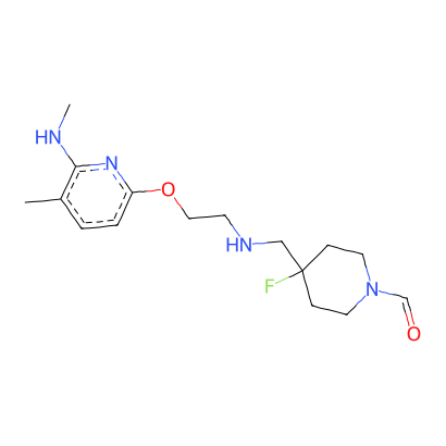 CNc1nc(OCCNCC2(F)CCN(C=O)CC2)ccc1C